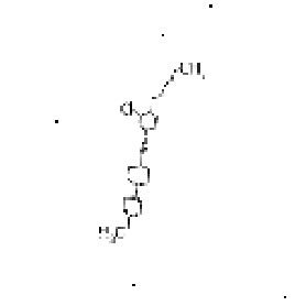 CCCCCCc1ccc(C#CC2CCC(c3ccc(CC)cc3)CC2)cc1Cl